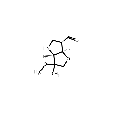 COC1(C)CO[C@@H]2[C@H](C=O)CN[C@@H]21